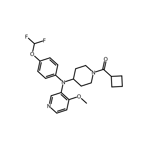 COc1ccncc1N(c1ccc(OC(F)F)cc1)C1CCN(C(=O)C2CCC2)CC1